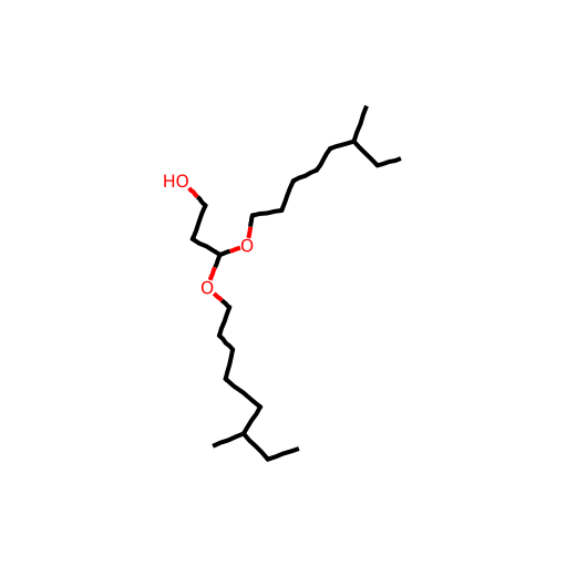 CCC(C)CCCCCOC(CCO)OCCCCCC(C)CC